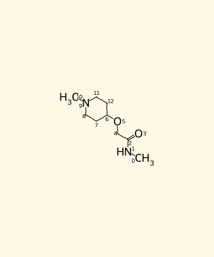 CNC(=O)COC1CCN(C)CC1